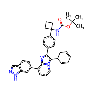 CC(C)(C)OC(=O)NC1(c2ccc(-c3nc4c(-c5ccc6cn[nH]c6c5)cccn4c3C3C=CC=CC3)cc2)CCC1